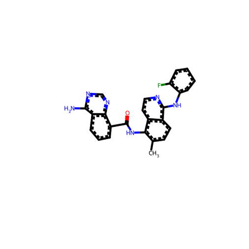 Cc1ccc2c(Nc3ccccc3F)nccc2c1NC(=O)c1cccc2c(N)ncnc12